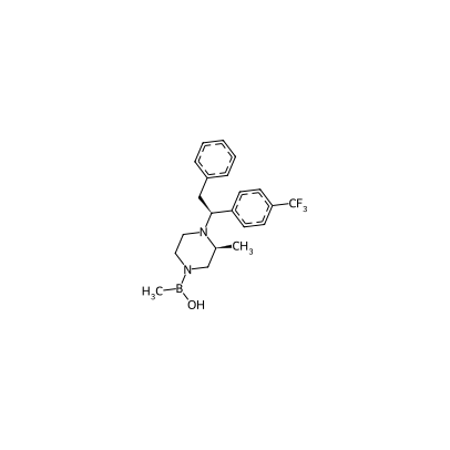 CB(O)N1CCN([C@@H](Cc2ccccc2)c2ccc(C(F)(F)F)cc2)[C@@H](C)C1